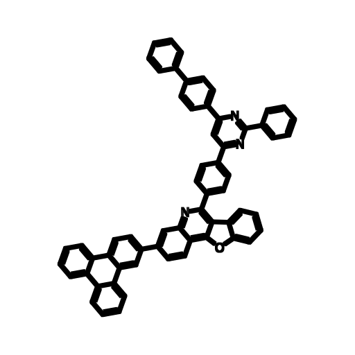 c1ccc(-c2ccc(-c3cc(-c4ccc(-c5nc6cc(-c7ccc8c9ccccc9c9ccccc9c8c7)ccc6c6oc7ccccc7c56)cc4)nc(-c4ccccc4)n3)cc2)cc1